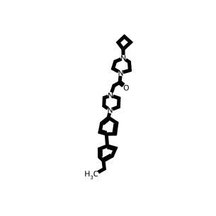 CCc1ccc(-c2ccc(N3CCN(CC(=O)N4CCN(C5CCC5)CC4)CC3)cc2)cc1